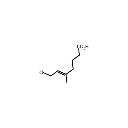 CC(=CCCl)CCCC(=O)O